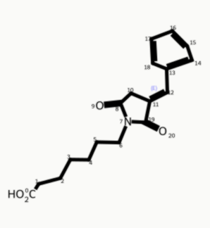 O=C(O)CCCCCCN1C(=O)C/C(=C\c2ccccc2)C1=O